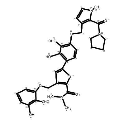 CN(C)C(=O)c1sc(-c2ccc(OCc3ccn(C)c3C(=O)N3CCCC3)c(C=O)c2O)cc1COc1cccc(O)c1C=O